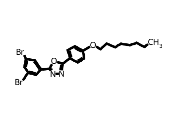 CCCCCCCCOc1ccc(-c2nnc(-c3cc(Br)cc(Br)c3)o2)cc1